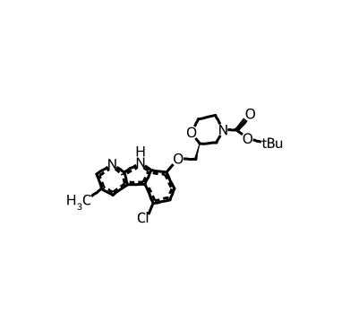 Cc1cnc2[nH]c3c(OC[C@@H]4CN(C(=O)OC(C)(C)C)CCO4)ccc(Cl)c3c2c1